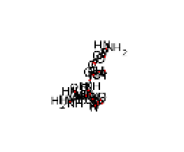 COc1ccc2c3c1O[C@H]1C(OC(=O)N4CCC(C(=O)NCCCCC[C@H](NC(=O)OCc5ccccc5)C(=O)NCCOc5ccc(C(=O)Oc6ccc7cc(C(=N)N)ccc7c6)cc5)CC4CNC(=O)[C@@H](CCCNC(=N)N)NC(=O)CNC(C)=O)=CC[C@H]4[C@H](CCC[C@]314)C2